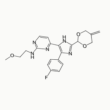 C=C1COC(c2nc(-c3ccc(F)cc3)c(-c3ccnc(NCCOC)n3)[nH]2)OC1